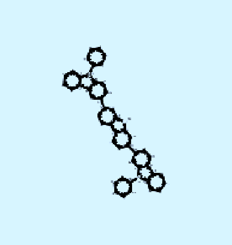 c1ccc(-n2c3ccccc3c3cc(-c4ccc5c(c4)oc4cc(-c6ccc7c8ccccc8n(-c8ccccc8)c7c6)ccc45)ccc32)cc1